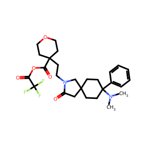 CN(C)C1(c2ccccc2)CCC2(CC1)CC(=O)N(CCC1(C(=O)OC(=O)C(F)(F)F)CCOCC1)C2